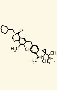 C=C(c1ccc(Cc2cc3c(=O)n(CC4CCOCC4)cnc3c(C)c2C)cc1)N(C)C1(C(C)P)CC1